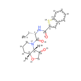 CC(C)C[C@H](NC(=O)c1cc2ccccc2s1)C(=O)N1CCC[C@H]2OCC(=O)[C@H]21